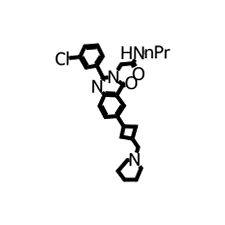 CCCNC(=O)Cn1c(-c2cccc(Cl)c2)nc2ccc(C3CC(CN4CCCCC4)C3)cc2c1=O